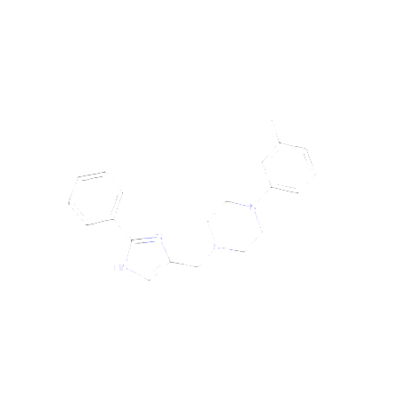 FC(F)(F)c1cccc(N2CCN(Cc3c[nH]c(-c4ccccc4)n3)CC2)c1